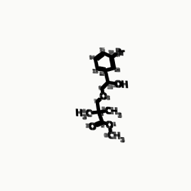 COC(=O)C(C)(C)COCC(O)c1cccc(Br)c1